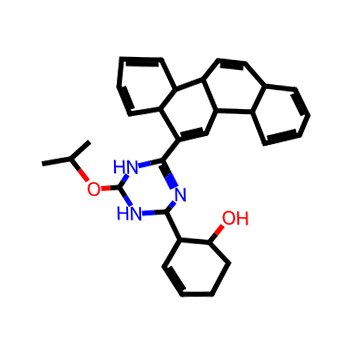 CC(C)OC1NC(C2=CC3C4C=CC=CC4C=CC3C3C=CC=CC23)=NC(C2C=CCCC2O)N1